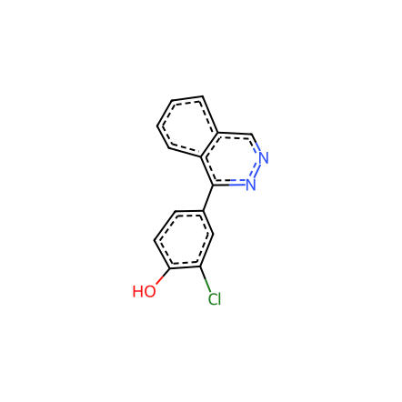 Oc1ccc(-c2nncc3ccccc23)cc1Cl